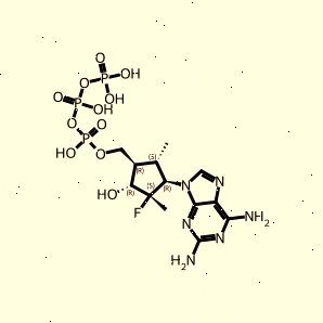 C[C@H]1[C@H](COP(=O)(O)OP(=O)(O)OP(=O)(O)O)[C@@H](O)[C@@](C)(F)[C@@H]1n1cnc2c(N)nc(N)nc21